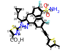 Cc1ccc(C#Cc2cc(-c3nn(-c4nc(C(=O)O)cs4)c(CC4CC4)c3Cc3ccc(S(N)(=O)=O)c(F)c3)ccc2F)s1